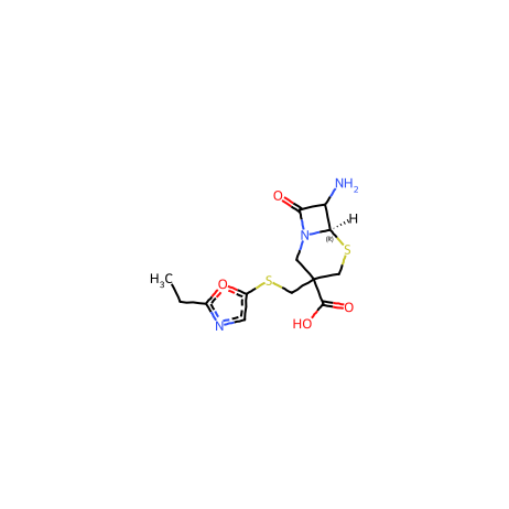 CCc1ncc(SCC2(C(=O)O)CS[C@@H]3C(N)C(=O)N3C2)o1